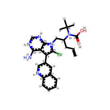 C=CCC(Cn1c(Br)c(-c2cnc3ccccc3c2)c2c(N)ncnc21)N(C(=O)O)C(C)(C)C